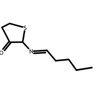 CCCCC=NC1SCCC1=O